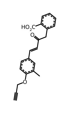 C#CCOc1ccc(/C=C/C(=O)Cc2ccccc2C(=O)O)cc1C